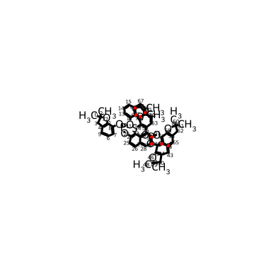 CC1(C)Cc2cccc(OP(Oc3cccc4c3OC(C)(C)C4)Oc3ccc4ccccc4c3Sc3c(OP(Oc4cccc5c4OC(C)(C)C5)Oc4cccc5c4OC(C)(C)C5)ccc4ccccc34)c2O1